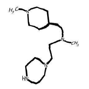 CN1CCC(CN(C)CCN2CCNCC2)CC1